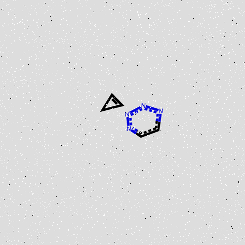 C1=CC1.c1cnnnn1